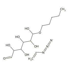 C=CN=[N+]=[N-].CCCCCOC(O)C(O)C(O)C(O)C(O)C=O